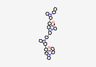 c1ccc2c(c1)Oc1c(-c3ccc4c(c3)c3ccccc3n4-c3ccc(-c4ccc5c(c4)c4cccc6c4n5-c4ccccc4C64c5ccccc5Oc5c(-c6ccc7c(c6)c6ccccc6n7-c6ccc7ccccc7c6)cccc54)cc3)cccc1C21c2ccccc2-n2c3ccccc3c3cccc1c32